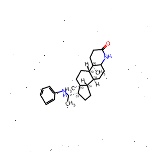 CC(Nc1ccccc1)[C@H]1CC[C@H]2[C@@H]3CCC4NC(=O)CC[C@]4(C)[C@H]3CC[C@]12C